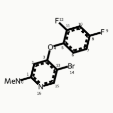 CNc1cc(Oc2ccc(F)cc2F)c(Br)cn1